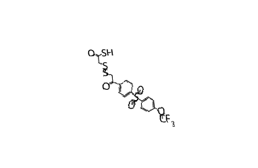 O=C(S)CSSCC(=O)c1ccc(S(=O)(=O)c2ccc(OC(F)(F)F)cc2)cc1